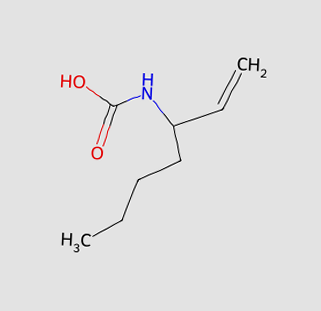 C=CC(CCCC)NC(=O)O